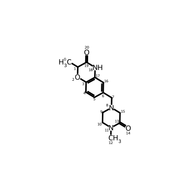 CC1Oc2ccc(CN3CCN(C)C(=O)C3)cc2NC1=O